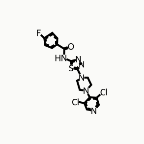 O=C(Nc1nnc(N2CCN(c3c(Cl)cncc3Cl)CC2)s1)c1ccc(F)cc1